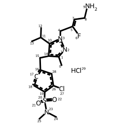 Cc1nn(CC(F)=CCN)c(C(C)C)c1Cc1ccc(S(=O)(=O)N(C)C)c(Cl)c1.Cl